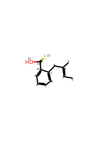 CC=C(C)Cc1ccccc1C(O)=S